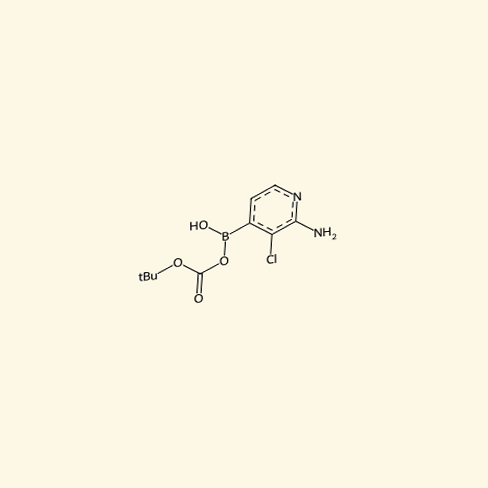 CC(C)(C)OC(=O)OB(O)c1ccnc(N)c1Cl